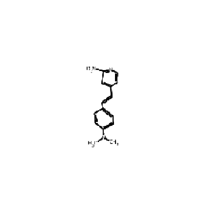 CN(C)c1ccc(C=Cc2ccnc([N+](=O)[O-])c2)cc1